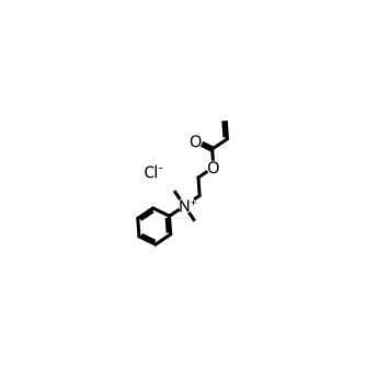 C=CC(=O)OCC[N+](C)(C)c1ccccc1.[Cl-]